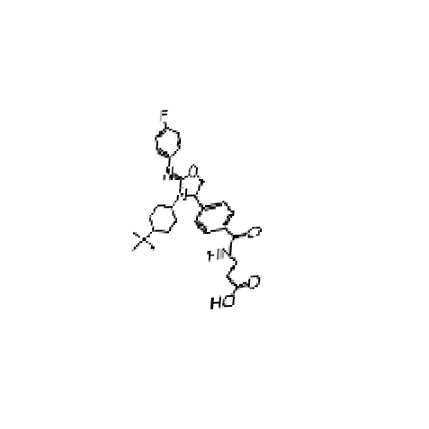 CC(C)(C)C1CCC(N2C(=Nc3ccc(F)cc3)OCC2c2ccc(C(=O)NCCC(=O)O)cc2)CC1